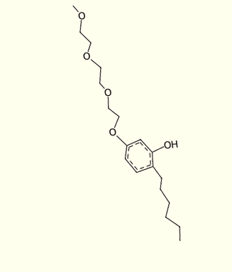 CCCCCCc1ccc(OCCOCCOCCOC)cc1O